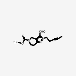 CC#CCCn1nc2c(c1C=O)CN(C(=O)OC(C)(C)C)CC2